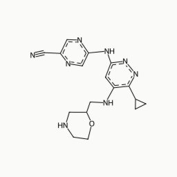 N#Cc1cnc(Nc2cc(NCC3CNCCO3)c(C3CC3)nn2)cn1